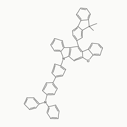 CC1(C)c2ccccc2-c2ccc(-c3c4c(cc5c3c3ccccc3n5-c3ccc(-c5ccc(N(c6ccccc6)c6ccccc6)cc5)cc3)oc3ccccc34)cc21